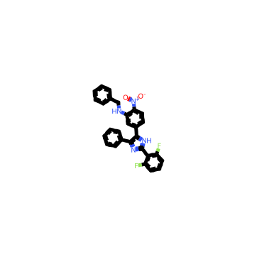 O=[N+]([O-])c1ccc(-c2[nH]c(-c3c(F)cccc3F)nc2-c2ccccc2)cc1NCc1ccccc1